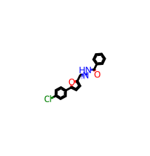 O=C(N/N=C/c1ccc(-c2ccc(Cl)cc2)o1)c1ccccc1